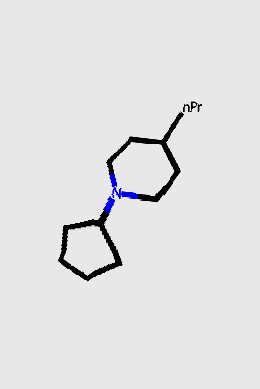 CCCC1CCN(C2CCCC2)CC1